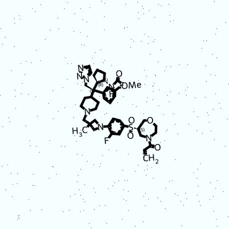 C=CC(=O)N1CCOC[C@@H](S(=O)(=O)c2ccc(N3CC(C)(CN4CCC([C@@](Cn5ccnn5)(c5cccc(F)c5)[C@H]5CCC[C@@H]5NC(=O)OC)CC4)C3)c(F)c2)C1